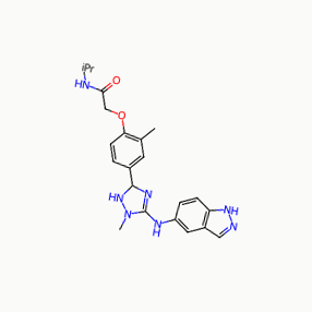 Cc1cc(C2N=C(Nc3ccc4[nH]ncc4c3)N(C)N2)ccc1OCC(=O)NC(C)C